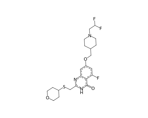 O=c1[nH]c(CSC2CCOCC2)nc2cc(OCC3CCN(CC(F)F)CC3)cc(F)c12